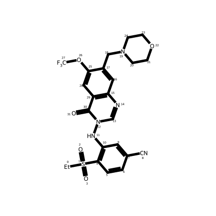 CCS(=O)(=O)c1ccc(C#N)cc1Nn1cnc2cc(CN3CCOCC3)c(OC(F)(F)F)cc2c1=O